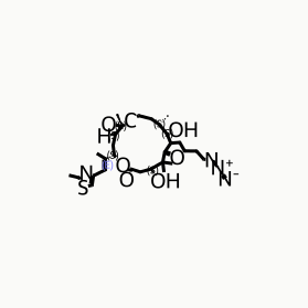 C/C(=C\c1csc(C)n1)[C@@H]1C[C@@H]2O[C@]2(C)CCC[C@H](C)[C@H](O)C(CCCCN=[N+]=[N-])C(=O)C(C)(C)[C@@H](O)CC(=O)O1